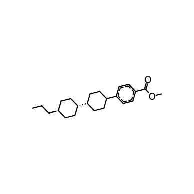 CCC[C@H]1CC[C@H](C2CCC(c3ccc(C(=O)OC)cc3)CC2)CC1